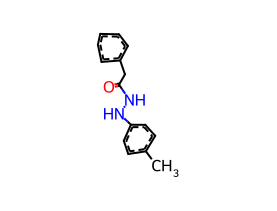 Cc1ccc(NNC(=O)Cc2ccccc2)cc1